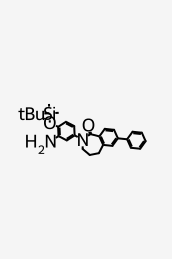 CC(C)(C)[Si](C)(C)Oc1ccc(N2CCCc3cc(-c4ccccc4)ccc3C2=O)cc1N